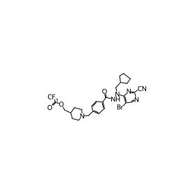 N#Cc1ncc(Br)c(N(CC2CCCC2)NC(=O)c2ccc(CN3CCC(COC(=O)C(F)(F)F)CC3)cc2)n1